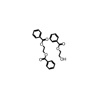 O=C(OCCO)c1ccccc1.O=C(OCCOC(=O)c1ccccc1)c1ccccc1